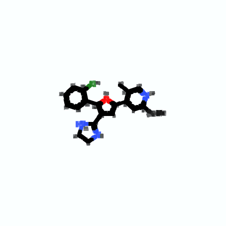 CC(=O)Nc1cc(-c2cc(C3=NCCN3)c(-c3ccccc3Cl)o2)c(C)cn1